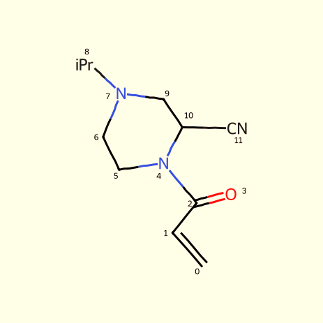 C=CC(=O)N1CCN(C(C)C)CC1C#N